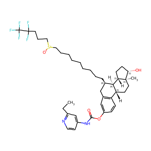 CCc1cc(NC(=O)Oc2ccc3c(c2)C[C@@H](CCCCCCCCC[S+]([O-])CCCC(F)(F)C(F)(F)F)[C@@H]2[C@@H]3CC[C@]3(C)[C@@H](O)CC[C@@H]23)ccn1